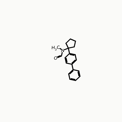 CN(C=O)C1(c2ccc(-c3ccccc3)cc2)CCCC1